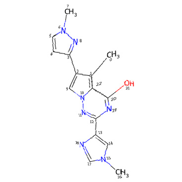 Cc1c(-c2ccn(C)n2)cn2nc(-c3cn(C)cn3)nc(O)c12